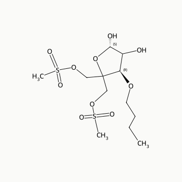 CCCCO[C@@H]1C(O)[C@@H](O)OC1(COS(C)(=O)=O)COS(C)(=O)=O